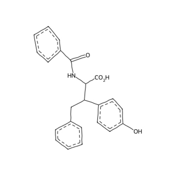 O=C(NC(C(=O)O)C(Cc1ccccc1)c1ccc(O)cc1)c1ccccc1